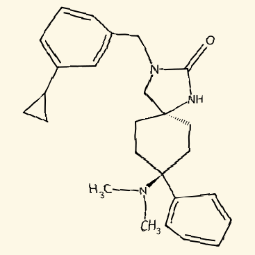 CN(C)[C@]1(c2ccccc2)CC[C@]2(CC1)CN(Cc1cccc(C3CC3)c1)C(=O)N2